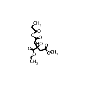 CCOC(=O)C(O)(CC(=O)OC)CC(=O)OC(=O)CC